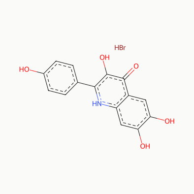 Br.O=c1c(O)c(-c2ccc(O)cc2)[nH]c2cc(O)c(O)cc12